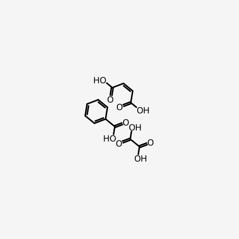 O=C(O)/C=C\C(=O)O.O=C(O)C(=O)O.O=C(O)c1ccccc1